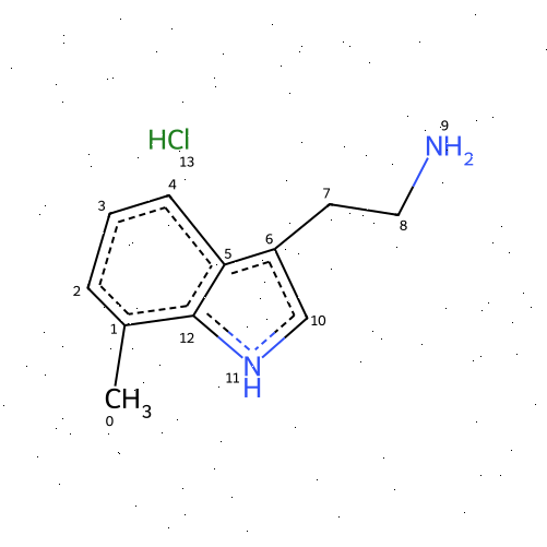 Cc1cccc2c(CCN)c[nH]c12.Cl